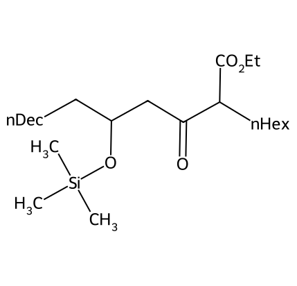 CCCCCCCCCCCC(CC(=O)C(CCCCCC)C(=O)OCC)O[Si](C)(C)C